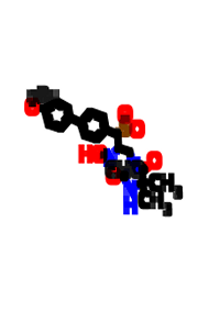 CCCCOc1ccc(-c2ccc(C(C(CN3C(=O)NC(C)(C)C3=O)N(O)C=O)=S(=O)=O)cc2)cc1